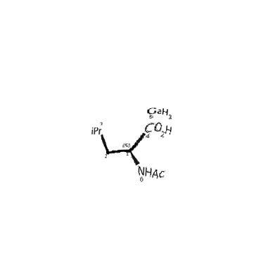 CC(=O)N[C@@H](CC(C)C)C(=O)O.[GaH3]